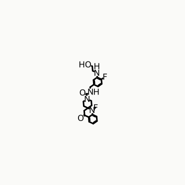 O=C1CC2(CCN(C(=O)NCc3ccc(F)c(NCCO)c3)CC2)N(F)c2ccccc21